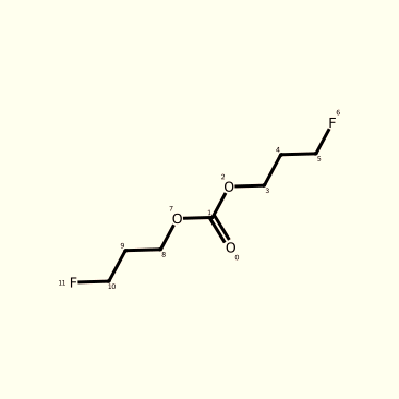 O=C(OCCCF)OCCCF